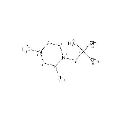 CC1CN(C)CCN1CC(C)(C)O